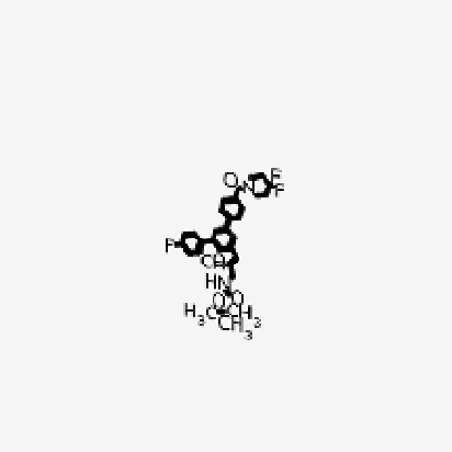 Cc1cc(F)ccc1-c1cc(-c2ccc(C(=O)N3CCC(F)(F)CC3)cc2)cc2cc(CNC(=O)OC(C)(C)C)oc12